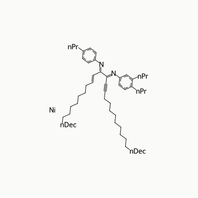 CCCCCCCCCCCCCCCCC/C=C/C(=N\c1ccc(CCC)cc1)C(/C#CCCCCCCCCCCCCCCCCCCC)=N/c1ccc(CCC)c(CCC)c1.[Ni]